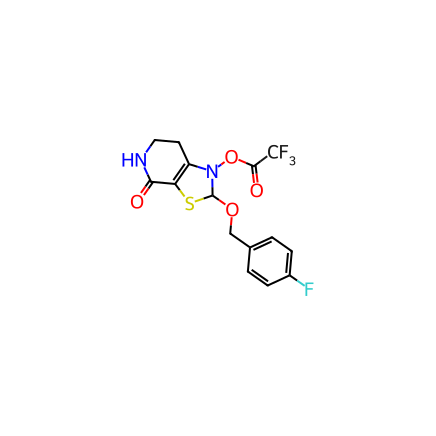 O=C1NCCC2=C1SC(OCc1ccc(F)cc1)N2OC(=O)C(F)(F)F